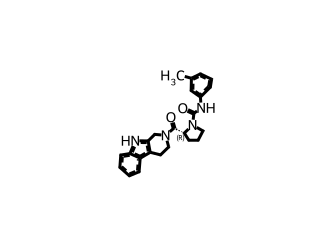 Cc1cccc(NC(=O)N2CCC[C@@H]2C(=O)N2CCc3c([nH]c4ccccc34)C2)c1